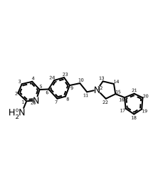 Nc1cccc(-c2ccc(CCN3CCC(c4ccccc4)C3)cc2)n1